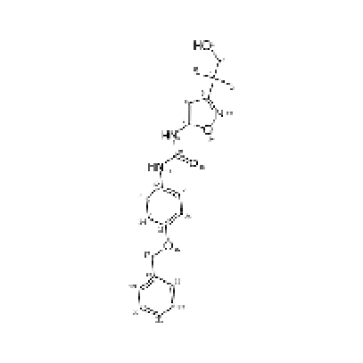 CC(C)(CO)c1cc(NC(=O)Nc2ccc(OCc3ccccc3)cc2)on1